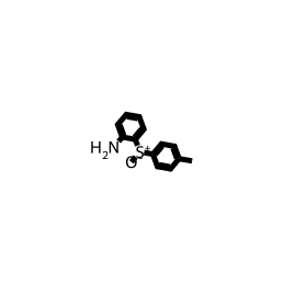 Cc1ccc([S+]([O-])c2ccccc2N)cc1